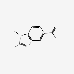 Cn1c(F)nc2cc(C(N)=O)ccc21